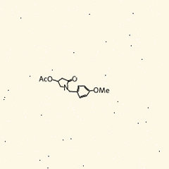 COc1ccc(CN2CC(OC(C)=O)CC2=O)cc1